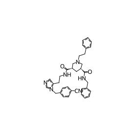 N#Cc1ccc(Cn2cncc2CCNC(=O)[C@@H]2C[C@H](C(=O)NCc3ccccc3)CN(CCc3ccccc3)C2)cc1